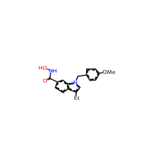 CCc1cn(Cc2ccc(OC)cc2)c2cc(C(=O)NO)ccc12